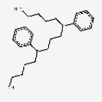 CCCCCP(CCCP(CCCCC)c1ccccc1)c1ccccc1